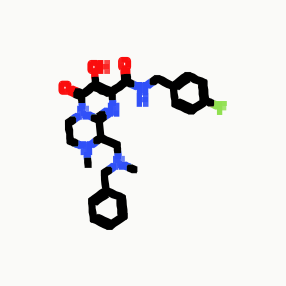 CN(Cc1ccccc1)CC1c2nc(C(=O)NCc3ccc(F)cc3)c(O)c(=O)n2CCN1C